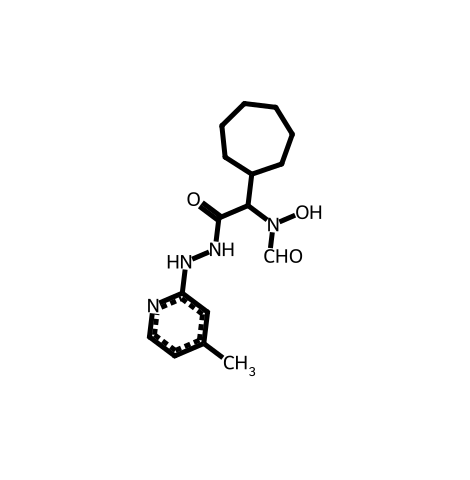 Cc1ccnc(NNC(=O)C(C2CCCCCC2)N(O)C=O)c1